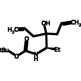 C=CCC(O)(CC=C)[C@@H](CC)NC(=O)OC(C)(C)C